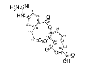 N=C(N)Nc1ccc2c(c1)CCCOc1c(ccc(CCC(=O)O)c1C(=O)O)OC2=O